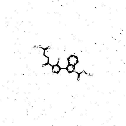 COC(=O)CCC(=O)c1scc(-c2cn(C(=O)OC(C)(C)C)c3ccccc23)c1F